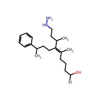 CCC(O)CCC/C(C)=C(\CCC(C)c1ccccc1)C(C)CCNN